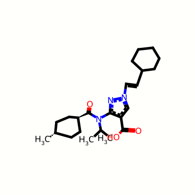 CC(C)N(c1nn(C=CC2CCCCC2)cc1C(=O)O)C(=O)[C@H]1CC[C@H](C)CC1